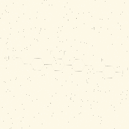 CCCC1CCC(C2CCC(C3CCC(COC4CCC(I)CC4F)CC3)C(F)C2F)CC1